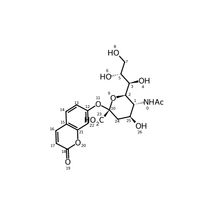 CC(=O)N[C@H]1[C@H]([C@H](O)[C@H](O)CO)O[C@](Oc2ccc3ccc(=O)oc3c2)(C(=O)O)C[C@@H]1O